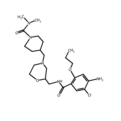 CCCOc1cc(N)c(Cl)cc1C(=O)NCC1CN(CC2CCN(C(=O)N(C)C)CC2)CCO1